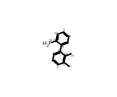 Cc1cccc(-c2ccccc2P)c1C